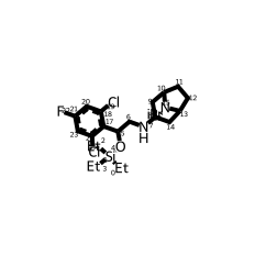 CC[Si](CC)(CC)OC(CNC1CC2CCC(C1)N2C(C)C)c1c(Cl)cc(F)cc1Cl